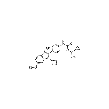 CCOc1ccc2c(C(=O)O)c(-c3ccc(NC(=O)OC(C)C4CC4)cc3)n(C3CCC3)c2c1